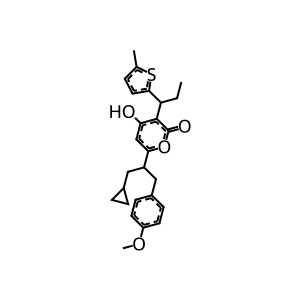 CCC(c1ccc(C)s1)c1c(O)cc(C(Cc2ccc(OC)cc2)CC2CC2)oc1=O